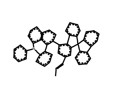 C/C=C/c1cc(-c2ccccc2-c2ccccc2N(c2ccccc2)c2ccccc2)c2c(c1)C1(c3ccccc3-c3ccccc31)c1ccccc1-2